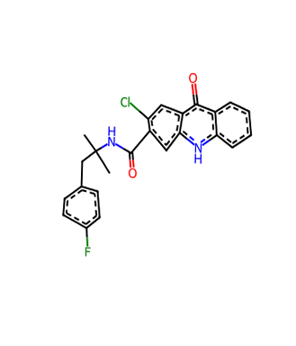 CC(C)(Cc1ccc(F)cc1)NC(=O)c1cc2[nH]c3ccccc3c(=O)c2cc1Cl